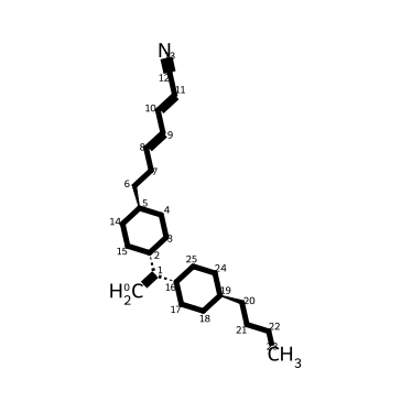 C=C([C@H]1CC[C@H](CC/C=C/C=C/C#N)CC1)[C@H]1CC[C@H](CCCC)CC1